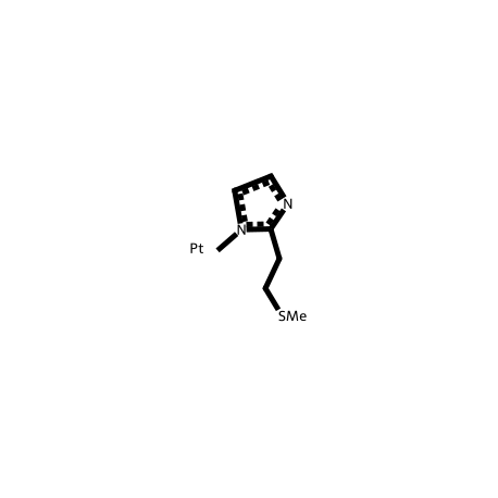 CSCCc1nccn1C.[Pt]